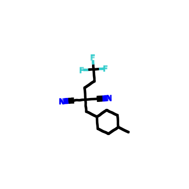 CC1CCC(CC(C#N)(C#N)CCC(F)(F)F)CC1